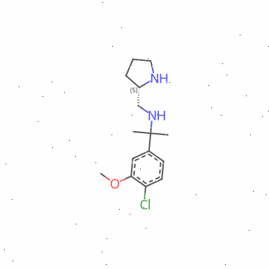 COc1cc(C(C)(C)NC[C@@H]2CCCN2)ccc1Cl